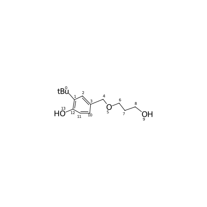 CC(C)(C)c1cc(COCCCO)ccc1O